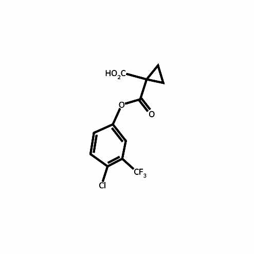 O=C(O)C1(C(=O)Oc2ccc(Cl)c(C(F)(F)F)c2)CC1